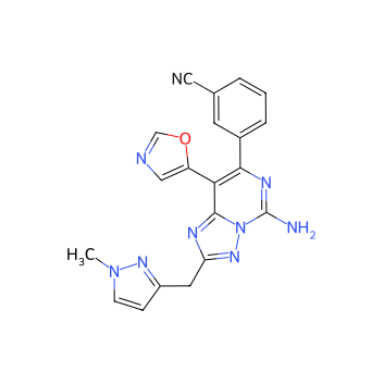 Cn1ccc(Cc2nc3c(-c4cnco4)c(-c4cccc(C#N)c4)nc(N)n3n2)n1